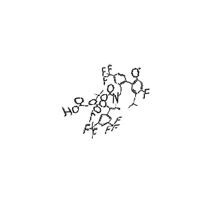 COc1cc(F)c(C(C)C)cc1-c1ccc(C(F)(F)F)cc1CN(C(=O)OC(C)(C)C)[C@@H](C)[C@H](OC(=O)OCC(=O)O)c1cc(C(F)(F)F)cc(C(F)(F)F)c1